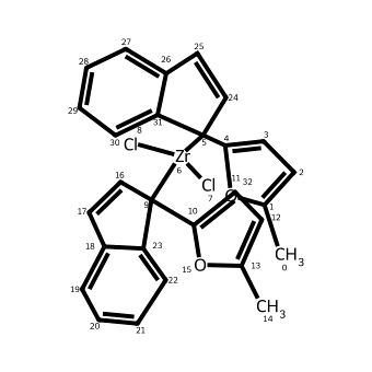 Cc1ccc([C]2([Zr]([Cl])([Cl])[C]3(c4ccc(C)o4)C=Cc4ccccc43)C=Cc3ccccc32)o1